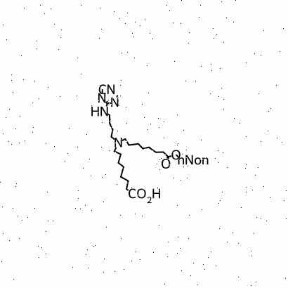 CCCCCCCCCOC(=O)CCCCCCCN(CCCCCCCC(=O)O)CCCCN/C(=N/C#N)N(C)C